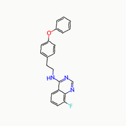 Fc1cccc2c(NCCc3ccc(Oc4ccccc4)cc3)ncnc12